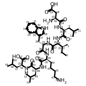 CC[C@H](C)[C@H](NC(=O)[C@H](CC(C)C)NC(=O)[C@@H](N)CC(=O)O)C(=O)N[C@@H](Cc1c[nH]c2ccccc12)C(=O)N[C@@H](CCCCN)C(=O)N[C@@H](CC(C)C)C(=O)N[C@@H](CC(C)C)C(=O)O